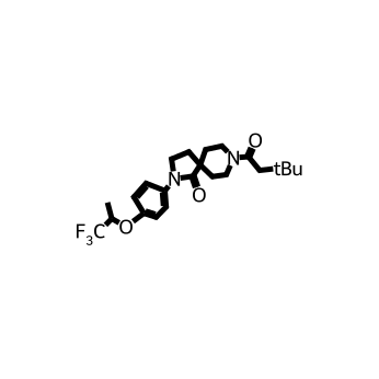 CC(Oc1ccc(N2CCC3(CCN(C(=O)CC(C)(C)C)CC3)C2=O)cc1)C(F)(F)F